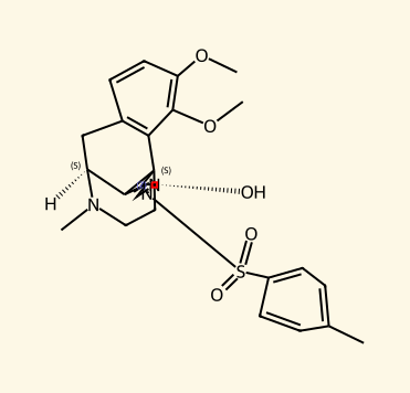 COc1ccc2c(c1OC)C13CCN(C)[C@@H](C2)C1C/C=N\N(S(=O)(=O)c1ccc(C)cc1)[C@@H](O)C3